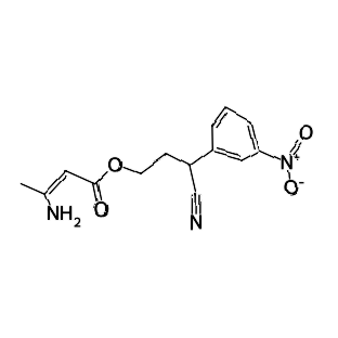 C/C(N)=C/C(=O)OCCC(C#N)c1cccc([N+](=O)[O-])c1